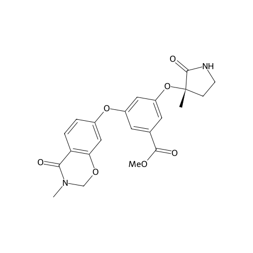 COC(=O)c1cc(Oc2ccc3c(c2)OCN(C)C3=O)cc(O[C@@]2(C)CCNC2=O)c1